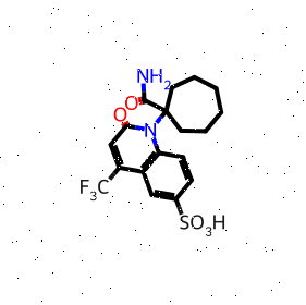 NC(=O)C1(n2c(=O)cc(C(F)(F)F)c3cc(S(=O)(=O)O)ccc32)CCCCCC1